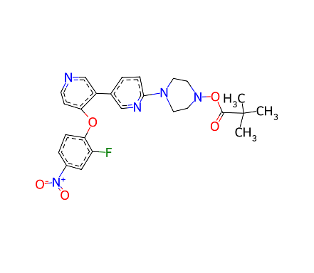 CC(C)(C)C(=O)ON1CCN(c2ccc(-c3cnccc3Oc3ccc([N+](=O)[O-])cc3F)cn2)CC1